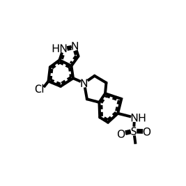 CS(=O)(=O)Nc1ccc2c(c1)CCN(c1cc(Cl)cc3[nH]ncc13)C2